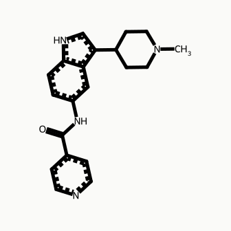 CN1CCC(c2c[nH]c3ccc(NC(=O)c4ccncc4)cc23)CC1